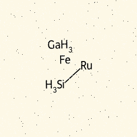 [Fe].[GaH3].[SiH3][Ru]